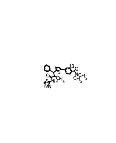 CC(C(=O)Nc1nncs1)C(c1ccccc1)c1ccc(-c2ccc(C(=O)N(C)C)c(Cl)c2)s1